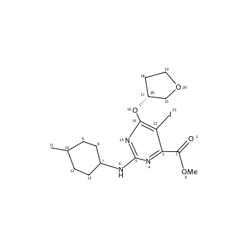 COC(=O)c1nc(NC2CCC(C)CC2)nc(O[C@@H]2CCOC2)c1I